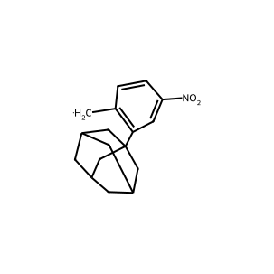 [CH2]c1ccc([N+](=O)[O-])cc1C12CC3CC(CC(C3)C1)C2